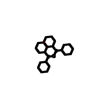 C1CCC(B(OB(C2CCCCC2)C2CCCCC2)C2CCCCC2)CC1